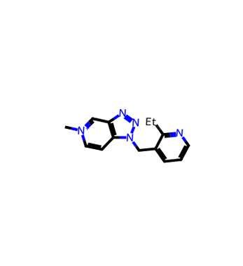 CCc1ncccc1Cn1nnc2c[n+](C)ccc21